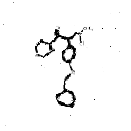 CN(C)/C=C(/C(=O)C1CCSCC1)c1ccc(OCc2ccccc2)cc1